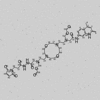 C=C1C=C(C)c2ccc(NC(=O)CN(CCN3CCOCCN(CCN(COC=O)CC(=O)NNC(=O)CCN4C(=O)C=CC4=O)CCOCC3)COC=O)cc2N1